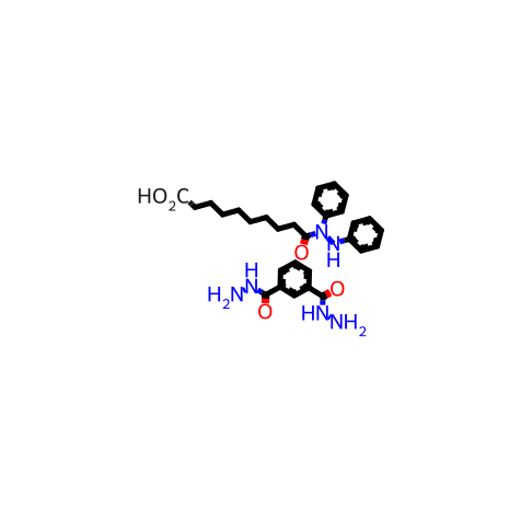 NNC(=O)c1cccc(C(=O)NN)c1.O=C(O)CCCCCCCCC(=O)N(Nc1ccccc1)c1ccccc1